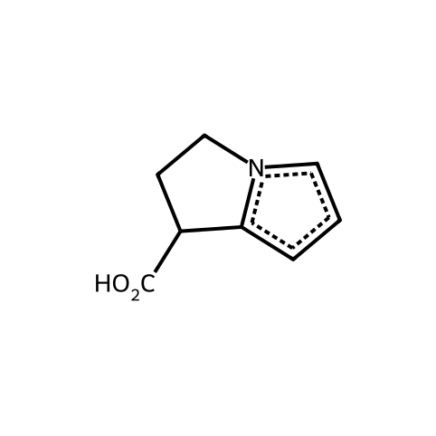 O=C(O)C1CCn2cccc21